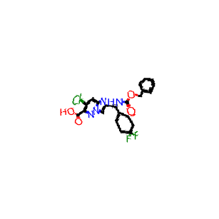 O=C(N[C@H](c1cn2nc(C(=O)O)c(Cl)cc2n1)C1CCC(F)(F)CC1)OCc1ccccc1